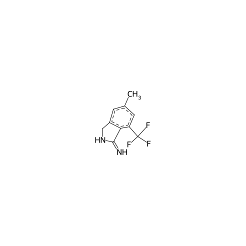 Cc1cc2c(c(C(F)(F)F)c1)C(=N)NC2